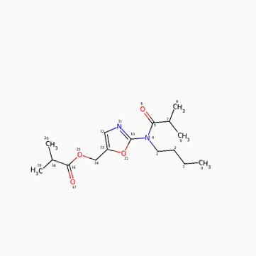 CCCCN(C(=O)C(C)C)c1ncc(COC(=O)C(C)C)o1